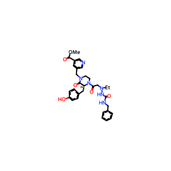 CCN(CC(=O)N1CCN(Cc2cncc(C(=O)OC)c2)C(=O)[C@@H]1Cc1ccc(O)cc1)NC(=O)NCc1ccccc1